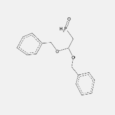 O=[PH2]CC(OCc1ccccc1)OCc1ccccc1